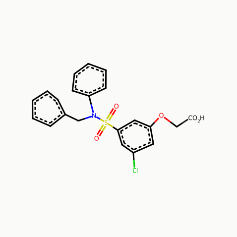 O=C(O)COc1cc(Cl)cc(S(=O)(=O)N(Cc2ccccc2)c2ccccc2)c1